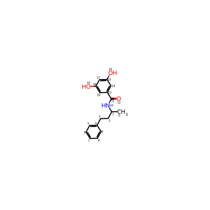 CC(CCc1ccccc1)NC(=O)c1cc(O)cc(O)c1